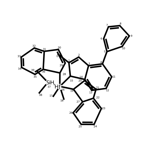 CC1=Cc2c(-c3ccccc3)cccc2[CH]1[Hf]([CH3])([CH3])([CH]1C=Cc2ccccc21)([CH]1C=Cc2ccccc21)[SiH](C)C